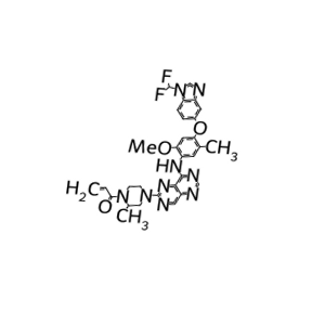 C=CC(=O)N1CCN(c2ncc3ncnc(Nc4cc(C)c(Oc5ccc6c(c5)ncn6C(F)F)cc4OC)c3n2)C[C@H]1C